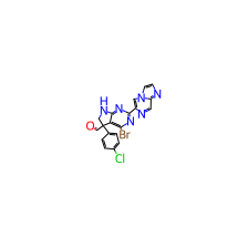 O=CC1(c2ccc(Cl)cc2)CNc2nc(-c3cn4ccnc4cn3)nc(Br)c21